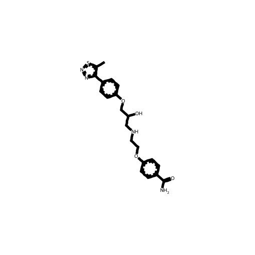 Cc1snnc1-c1ccc(OCC(O)CNCCOc2ccc(C(N)=O)cc2)cc1